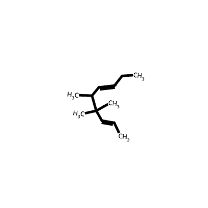 CC=CC(C)(C)C(C)/C=[C]/CC